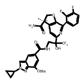 COc1cc(C(=O)NCC(O)(c2cc3c(c(-c4cccc(F)c4F)n2)OC[C@]3(C)C(N)=O)C(F)(F)F)cc2cn(C3CC3)nc12